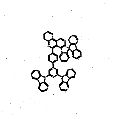 C1=CC2=C(CC1)C1(c3ccccc32)c2ccccc2-c2c1ccc1c2c(-c2ccc(-c3cc(-n4c5ccccc5c5ccccc54)cc(-n4c5ccccc5c5ccccc54)c3)cc2)nc2ccccc21